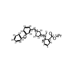 CC(C)OC(=O)c1cccnc1N(C)[C@H]1CCN(Cc2cccc(Oc3ccccc3)c2)C1